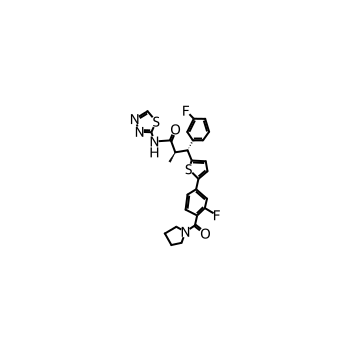 C[C@@H](C(=O)Nc1nncs1)[C@H](c1cccc(F)c1)c1ccc(-c2ccc(C(=O)N3CCCC3)c(F)c2)s1